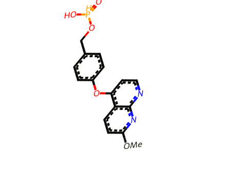 COc1ccc2c(Oc3ccc(CO[PH](=O)O)cc3)ccnc2n1